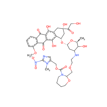 COc1cccc2c1C(=O)c1c(O)c3c(c(O)c1C2=O)C[C@@](O)(C(=O)CO)C[C@@H]3O[C@H]1CC(NCCOCC2OCCCCN2C(=O)OCc2cnc([N+](=O)[O-])n2C)C(O)[C@H](C)O1